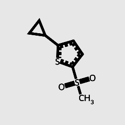 CS(=O)(=O)c1ccc(C2CC2)s1